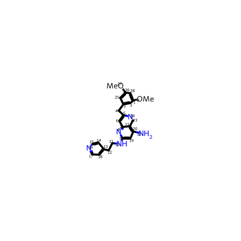 COc1cc(Cc2cc3nc(NCCc4ccncc4)cc(N)c3cn2)cc(OC)c1